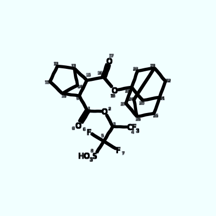 O=C(OC(C(F)(F)F)C(F)(F)S(=O)(=O)O)C1C2CCC(C2)C1C(=O)OC12CC3CC(CC(C3)C1)C2